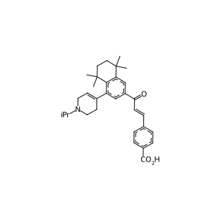 CC(C)N1CC=C(c2cc(C(=O)C=Cc3ccc(C(=O)O)cc3)cc3c2C(C)(C)CCC3(C)C)CC1